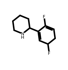 FC1=CCC(F)C=C1C1CCCCN1